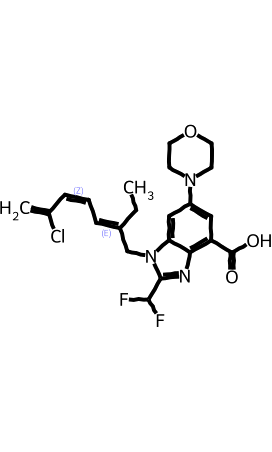 C=C(Cl)/C=C\C=C(/CC)Cn1c(C(F)F)nc2c(C(=O)O)cc(N3CCOCC3)cc21